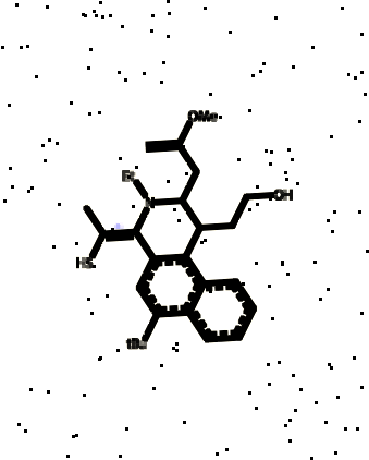 C=C(CC1C(CCO)c2c(cc(C(C)(C)C)c3ccccc23)/C(=C(/C)S)N1CC)OC